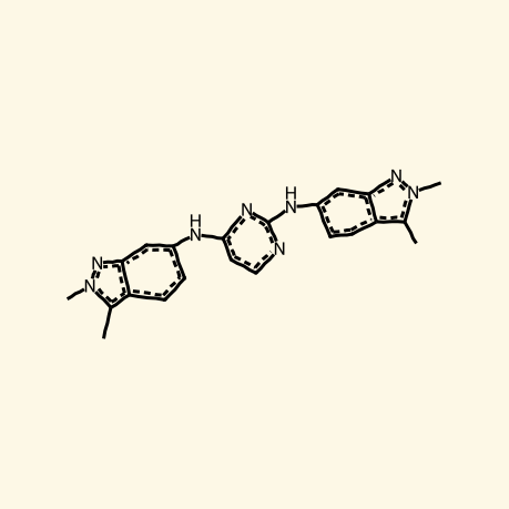 Cc1c2ccc(Nc3ccnc(Nc4ccc5c(C)n(C)nc5c4)n3)cc2nn1C